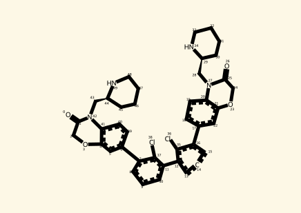 O=C1COc2cc(-c3cccc(-c4cccc(-c5ccc6c(c5)OCC(=O)N6C[C@@H]5CCCCN5)c4Cl)c3Cl)ccc2N1C[C@@H]1CCCCN1